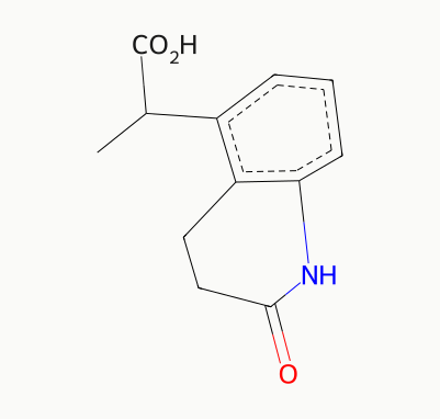 CC(C(=O)O)c1cccc2c1CCC(=O)N2